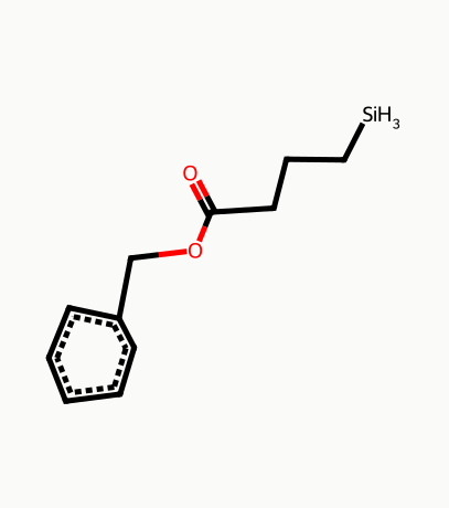 O=C(CCC[SiH3])OCc1ccccc1